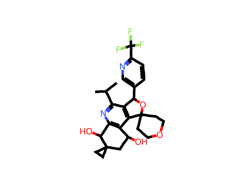 CC(C)c1nc2c(c3c1C(c1ccc(C(F)(F)F)nc1)OC31CCOCC1)C(O)CC1(CC1)C2O